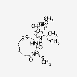 CC[C@@H](C)C(NC(=O)[C@H]1CSSCC/C=C/CCC(=O)N[C@H](CCSC)C(=O)N1)[C@H](CC(=O)OC)OC(C)=O